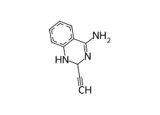 C#CC1N=C(N)c2ccccc2N1